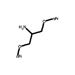 CCCOC[C](N)COCCC